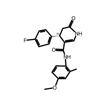 COc1ccc(NC(=O)C2=CNC(=O)C[C@H]2c2ccc(F)cc2)c(C)c1